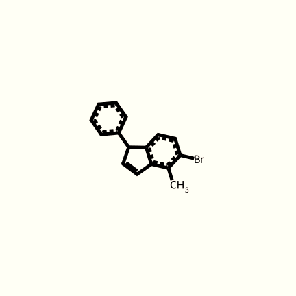 Cc1c(Br)ccc2c1C=CC2c1ccccc1